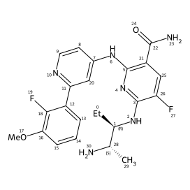 CC[C@@H](Nc1nc(Nc2ccnc(-c3cccc(OC)c3F)c2)c(C(N)=O)cc1F)[C@H](C)N